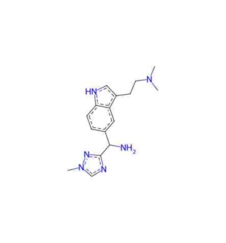 CN(C)CCc1c[nH]c2ccc(C(N)c3ncn(C)n3)cc12